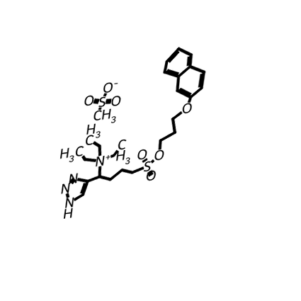 CC[N+](CC)(CC)C(CCCS(=O)(=O)OCCCOc1ccc2ccccc2c1)c1c[nH]nn1.CS(=O)(=O)[O-]